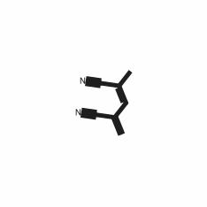 C=C(C#N)C=C(C)C#N